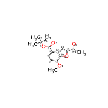 COc1ccc(C(=O)OC(C)(C)C)c2cc(C(C)=O)oc12